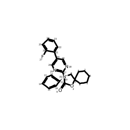 O=C1OC2(CCCCC2)C[N@+]1(c1ccccc1)c1ncc(-c2ccccc2F)cn1